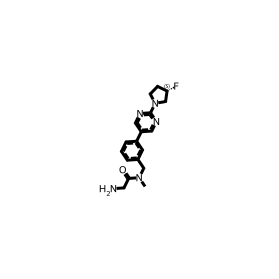 CN(Cc1cccc(-c2cnc(N3CC[C@H](F)C3)nc2)c1)C(=O)CN